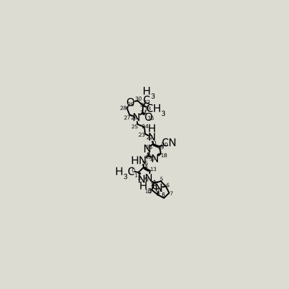 Cc1nn(C2CC3CCC(C2)N3C)cc1Nc1ncc(C#N)c(NCCCN2CCOCC(C)(C)C2=O)n1